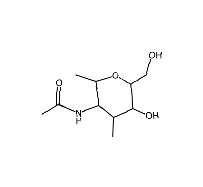 CC(=O)NC1C(C)OC(CO)C(O)C1C